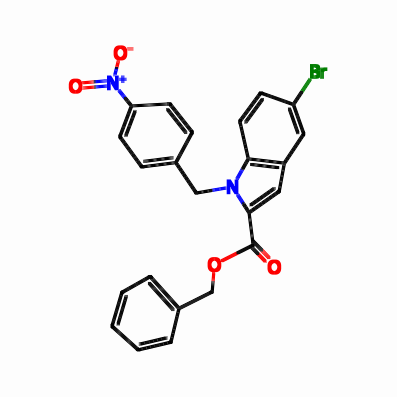 O=C(OCc1ccccc1)c1cc2cc(Br)ccc2n1Cc1ccc([N+](=O)[O-])cc1